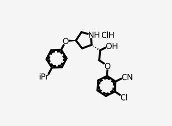 CC(C)c1ccc(O[C@H]2CN[C@H](C(O)COc3cccc(Cl)c3C#N)C2)cc1.Cl